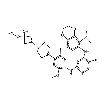 COc1cc(N2CCC(N3CC(O)(CCF)C3)CC2)c(C)cc1Nc1ncc(Br)c(Nc2ccc3c(c2P(C)C)OCCO3)n1